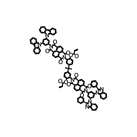 C=CC(=O)Oc1ccc(C(C)(C)c2ccc(OC(=O)C=C)c(N3C(=O)c4ccc5c6c(ccc(c46)C3=O)C(=O)N(c3cc(-n4c6ccccc6c6ccccc64)cc(-n4c6ccccc6c6ccccc64)c3)C5=O)c2)cc1N1C(=O)c2ccc3c4c(ccc(c24)C1=O)C(=O)N(c1cc(-n2c(-c4ccccc4)nc4ccccc42)cc(-n2c(-c4ccccc4)nc4ccccc42)c1)C3=O